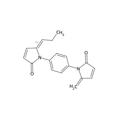 C=C1C=CC(=O)N1c1ccc(N2C(=O)C=C/C2=C/CC)cc1